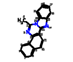 Cc1nc2c3ccccc3ccc2c2nc3ccccc3n12